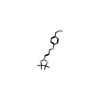 CC1(C)OB(/C=C/COc2ccc(CO)cc2)OC1(C)C